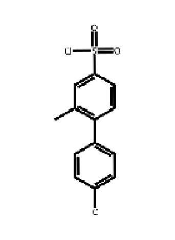 Cc1cc(S(=O)(=O)Cl)ccc1-c1ccc(Cl)cc1